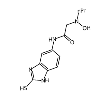 CCCN(O)CC(=O)Nc1ccc2[nH]c(S)nc2c1